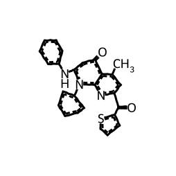 Cc1cc(C(=O)c2cccs2)nc2c1c(=O)cc(Nc1ccccc1)n2-c1ccccc1